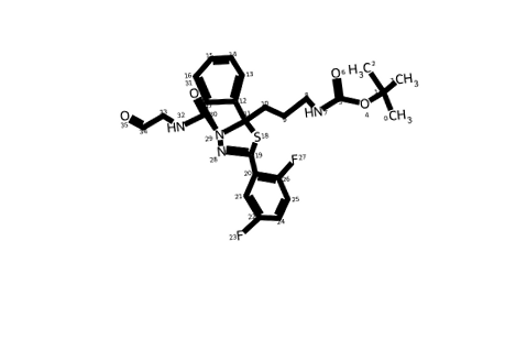 CC(C)(C)OC(=O)NCCCC1(c2ccccc2)SC(c2cc(F)ccc2F)=NN1C(=O)NCC=O